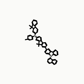 Cc1ccc(N(C2=CC3C(C=C2)c2ccccc2C3(C)C)c2ccc3c(c2)C(C)(C)c2cc(-c4ccc5c(c4)c4ccccc4n5-c4cccc5ccccc45)ccc2-3)cc1